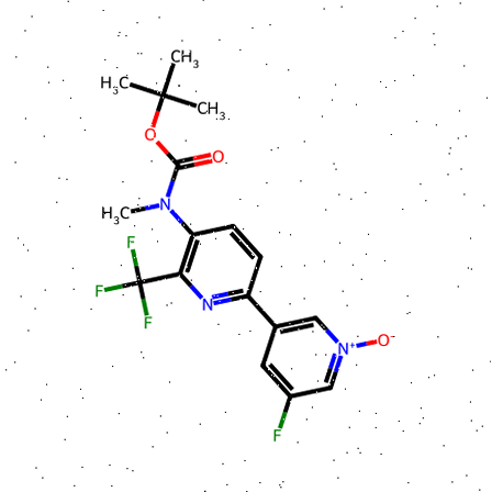 CN(C(=O)OC(C)(C)C)c1ccc(-c2cc(F)c[n+]([O-])c2)nc1C(F)(F)F